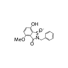 COc1ccc(O)c2c1c(=O)n(Cc1ccccc1)[s+]2[O-]